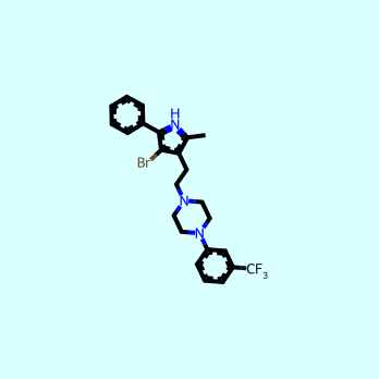 Cc1[nH]c(-c2ccccc2)c(Br)c1CCN1CCN(c2cccc(C(F)(F)F)c2)CC1